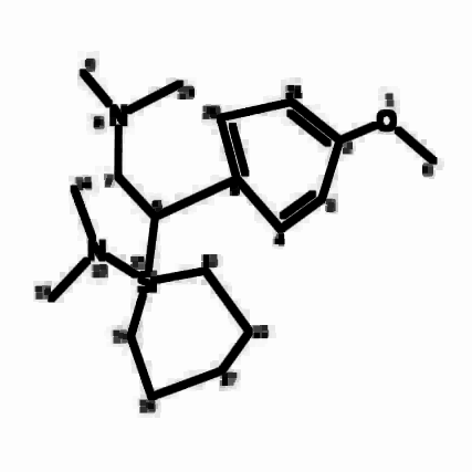 COc1ccc(C(CN(C)C)[Si]2(N(C)C)CCCCC2)cc1